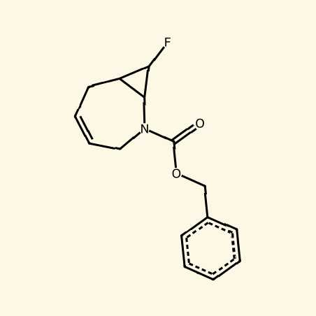 O=C(OCc1ccccc1)N1CC=CCC2C(F)C21